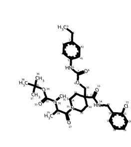 CCc1ccc(NC(=O)OCC2(C(=O)NCc3ccccc3Cl)CCN(C(=O)C(C)N(C)C(=O)OC(C)(C)C)CC2)cc1